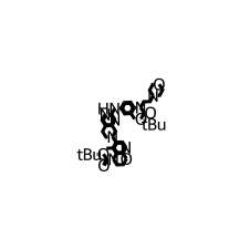 Cc1cc(Nc2ncc3c(n2)CN(c2cnc4c(c2C)N(C(=O)OC(C)(C)C)CCO4)CC3)ccc1N(CCN1CCOCC1)C(=O)OC(C)(C)C